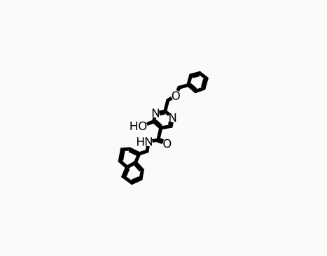 O=C(NCc1cccc2ccccc12)c1cnc(COCc2ccccc2)nc1O